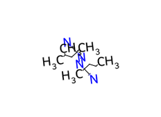 CCCC(C)(C#N)/N=N/C(C)(C#N)CC(C)C